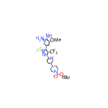 COc1cc(-c2c(C(F)(F)F)c(-c3ccc(C4CCN(C(=O)OC(C)(C)C)CC4)cn3)nn2SF)cn(N)c1=N